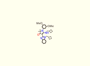 COc1cc(OC)cc(N2C(NCC3CCC3)=C(c3nc4ccccc4n3CC3CCC3)C(=O)C2(C)C)c1